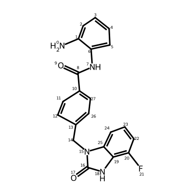 Nc1ccccc1NC(=O)c1ccc(Cn2c(=O)[nH]c3c(F)cccc32)cc1